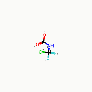 [O]C(=O)NC(F)(F)Cl